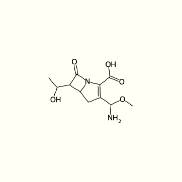 COC(N)C1=C(C(=O)O)N2C(=O)C(C(C)O)C2C1